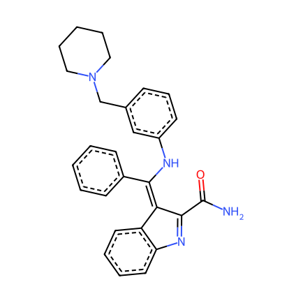 NC(=O)C1=Nc2ccccc2C1=C(Nc1cccc(CN2CCCCC2)c1)c1ccccc1